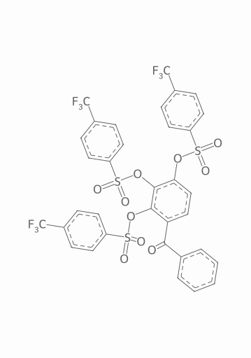 O=C(c1ccccc1)c1ccc(OS(=O)(=O)c2ccc(C(F)(F)F)cc2)c(OS(=O)(=O)c2ccc(C(F)(F)F)cc2)c1OS(=O)(=O)c1ccc(C(F)(F)F)cc1